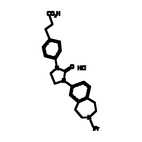 CC(C)N1CCc2ccc(N3CCN(c4ccc(CCC(=O)O)cc4)C3=O)cc2CC1.Cl